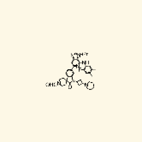 Cc1cc(F)c(Nc2nc(-c3ccc4c(c3)N(C3CC(N5CCCCC5)C3)C(=O)C43CCN(C=O)CC3)cc3ncn(C(C)C)c23)cc1C